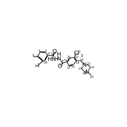 Cc1ccc(C(=O)NNC(=O)c2ccc(CN3CCN(C)CC3)c(C(F)(F)F)c2)cc1I